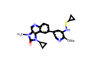 COc1ncc(-c2ccc3ncc4c(c3c2)n(C2CC2)c(=O)n4C)cc1NSC1CC1